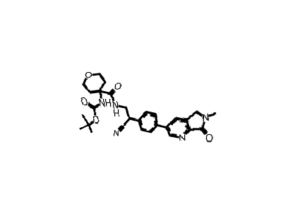 CN1Cc2cc(-c3ccc(C(C#N)CNC(=O)C4(NC(=O)OC(C)(C)C)CCOCC4)cc3)cnc2C1=O